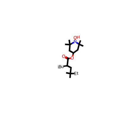 CCC(C)C(CC(C)(C)CC)C(=O)OC1CC(C)(C)N(O)C(C)(C)C1